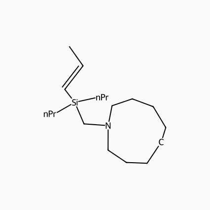 CC=C[Si](CCC)(CCC)CN1CCCCCCCC1